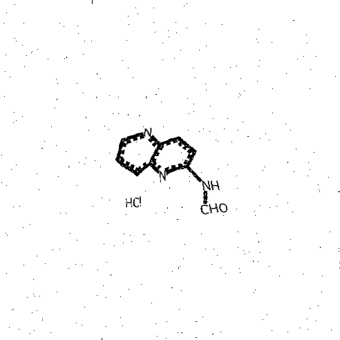 Cl.O=CNc1ccc2ncccc2n1